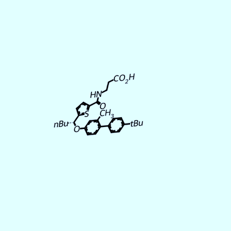 CCCC[C@@H](Oc1ccc(-c2ccc(C(C)(C)C)cc2)c(C)c1)c1ccc(C(=O)NCCC(=O)O)s1